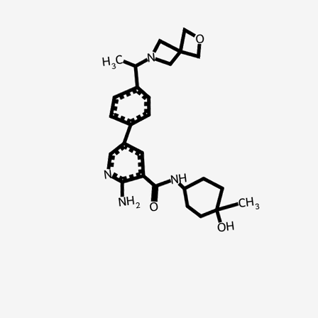 CC(c1ccc(-c2cnc(N)c(C(=O)NC3CCC(C)(O)CC3)c2)cc1)N1CC2(COC2)C1